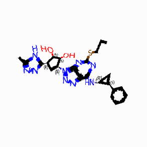 CCCSc1nc(N[C@@H]2C[C@H]2c2ccccc2)c2nnn([C@@H]3C[C@H](c4nnc(C)[nH]4)[C@@H](O)[C@H]3O)c2n1